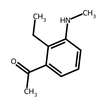 CCc1c(NC)cccc1C(C)=O